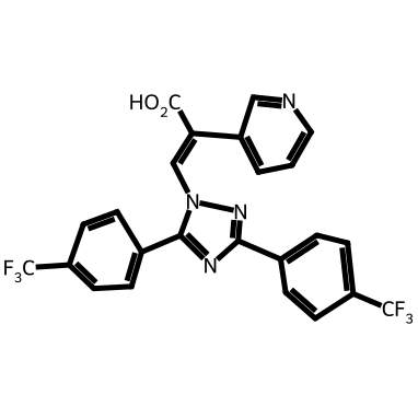 O=C(O)C(=Cn1nc(-c2ccc(C(F)(F)F)cc2)nc1-c1ccc(C(F)(F)F)cc1)c1cccnc1